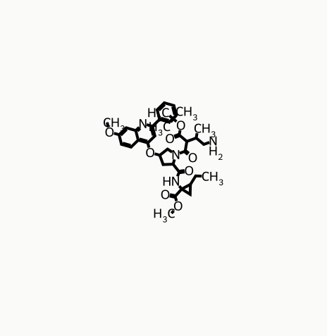 CCC1CC1(NC(=O)C1CC(Oc2cc(-c3ccccc3)nc3cc(OC)ccc23)CN1C(=O)C(C(=O)OC(C)(C)C)C(C)CN)C(=O)OC